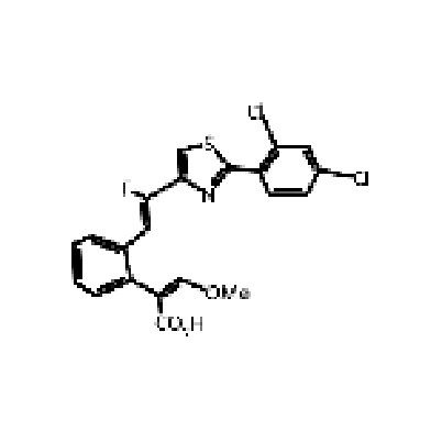 COC=C(C(=O)O)c1ccccc1C=C(F)c1csc(-c2ccc(Cl)cc2Cl)n1